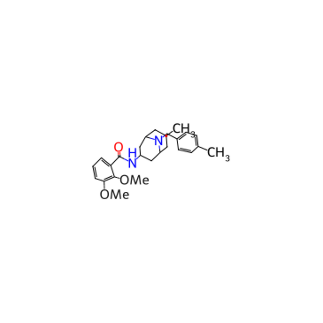 COc1cccc(C(=O)NC2CC3CC(C)CC(C2)N3Cc2ccc(C)cc2)c1OC